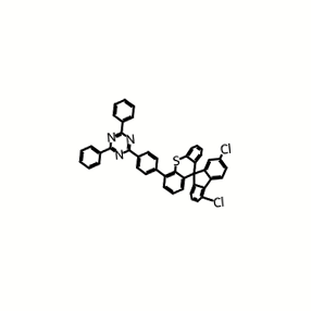 Clc1ccc2c(c1)C1(c3ccccc3Sc3c(-c4ccc(-c5nc(-c6ccccc6)nc(-c6ccccc6)n5)cc4)cccc31)c1cccc(Cl)c1-2